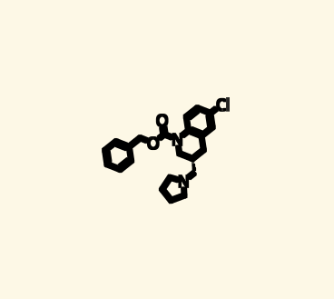 O=C(OCc1ccccc1)N1C[C@@H](CN2CCCC2)Cc2cc(Cl)ccc21